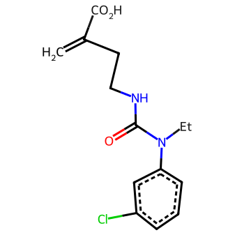 C=C(CCNC(=O)N(CC)c1cccc(Cl)c1)C(=O)O